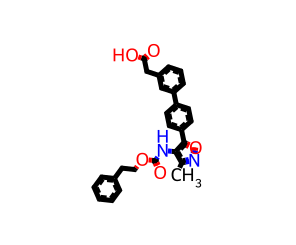 Cc1noc(-c2ccc(-c3cccc(CC(=O)O)c3)cc2)c1NC(=O)OCCc1ccccc1